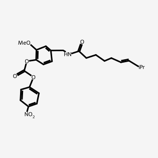 COc1cc(CNC(=O)CCCCC=CC(C)C)ccc1OC(=O)Oc1ccc([N+](=O)[O-])cc1